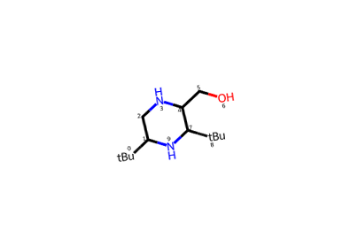 CC(C)(C)C1CNC(CO)C(C(C)(C)C)N1